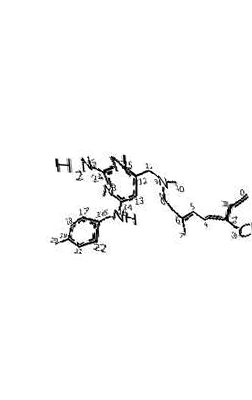 C=C/C(Cl)=C\C=C(/C)CN(C)Cc1cc(Nc2ccc(C)cc2)nc(N)n1